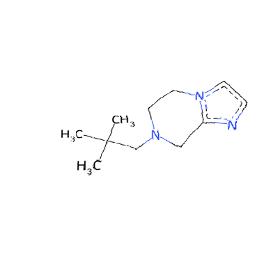 CC(C)(C)CN1CCn2ccnc2C1